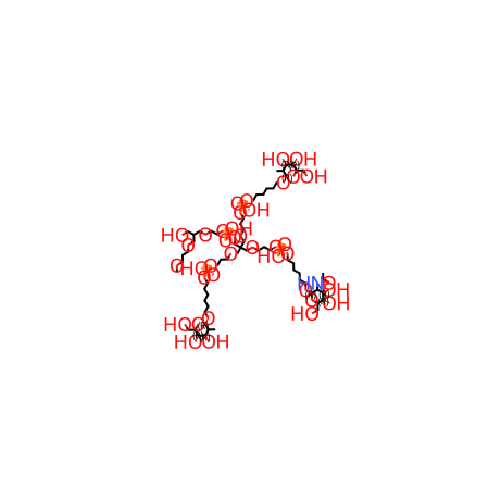 COCCCOCC(CO)COCCOP(=O)(O)OCC(COCCCOP(=O)(O)OCCCCCCO[C@@H]1OC(CO)[C@H](O)[C@H](O)C1C)(COCCCOP(=O)(O)OCCCCCCO[C@@H]1OC(CO)[C@H](O)[C@H](O)C1C)COCCCOP(=O)(O)OCCCCCCO[C@@H]1OC(CO)[C@H](O)[C@H](O)C1NC(C)=O